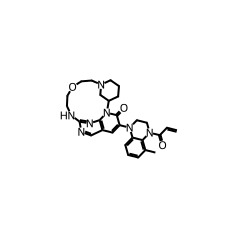 C=CC(=O)N1CCN(c2cc3cnc4nc3n(c2=O)C2CCCN(CCOCCN4)C2)c2cccc(C)c21